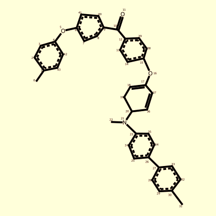 Cc1ccc(Oc2ccc(C(=O)c3ccc(OC4=CCC(N(C)c5ccc(-c6ccc(C)cc6)cc5)C=C4)cc3)cc2)cc1